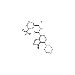 CC[C@H](NC(=O)c1cnc(C2CCOCC2)c2[nH]ncc12)c1cncc(S(C)(=O)=O)c1